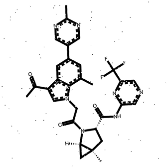 CC(=O)c1cn(CC(=O)N2[C@H](C(=O)Nc3cncc(C(F)(F)F)n3)C[C@@]3(C)C[C@@H]23)c2c(C)cc(-c3cnc(C)nc3)cc12